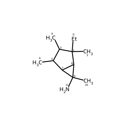 CCC1(C)C(C)C(C)C2C1C2(C)N